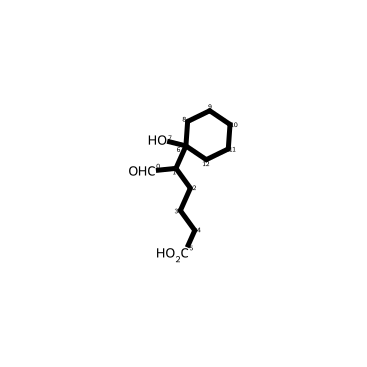 O=CC(CCCC(=O)O)C1(O)CCCCC1